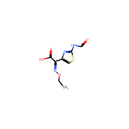 CCO/N=C(/C(=O)O)c1csc(NC=O)n1